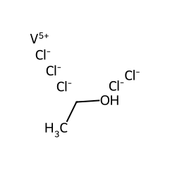 CCO.[Cl-].[Cl-].[Cl-].[Cl-].[Cl-].[V+5]